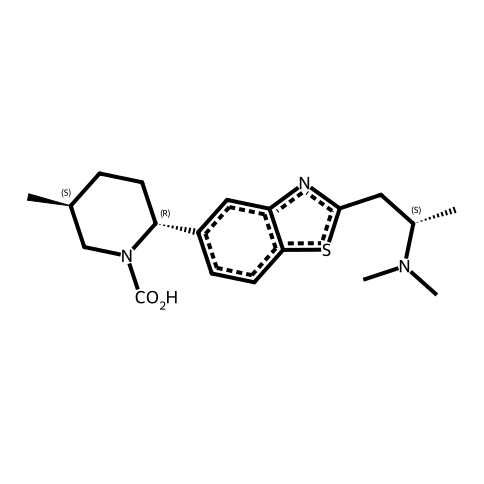 C[C@H]1CC[C@H](c2ccc3sc(C[C@H](C)N(C)C)nc3c2)N(C(=O)O)C1